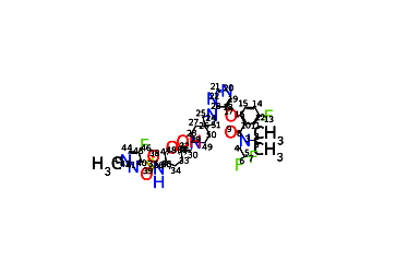 CC(C)N(CC(F)F)C(=O)c1cc(F)ccc1Oc1cncnc1N1CC2(CCN(C[C@@]3(O)CC[C@@H](NS(=O)(=O)c4nn(C)cc4F)CO3)CC2)C1